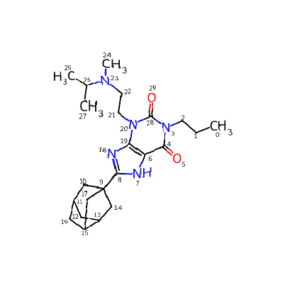 CCCn1c(=O)c2[nH]c(C34CC5CC(C3)C(C5)C4)nc2n(CCN(C)C(C)C)c1=O